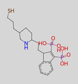 O=P(O)(O)C1=C(P(=O)(O)O)C(CCC2CCC(CCCS)CN2)c2ccccc21